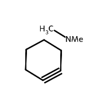 C1#CCCCC1.CNC